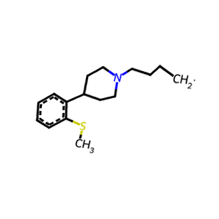 [CH2]CCCN1CCC(c2ccccc2SC)CC1